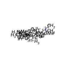 C=C/C=C(\C=C)C[C@H](NC(=O)[C@H](C)[C@@H](OC)[C@@H]1CCCN1C(=O)C[C@@H](OC)[C@H](C1CCCCC1)N(C)C(=O)[C@@H](NC(=O)C(C)(C)N)C(C)C)C(=O)OC